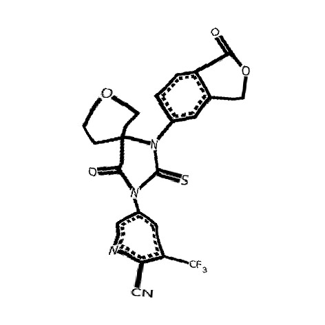 N#Cc1ncc(N2C(=O)C3(CCOC3)N(c3ccc4c(c3)COC4=O)C2=S)cc1C(F)(F)F